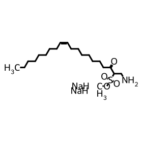 CCCCCCCC/C=C\CCCCCCCC(=O)C(CN)S(=O)(=O)OC.[NaH].[NaH]